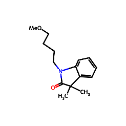 COCCCCN1C(=O)C(C)(C)c2ccccc21